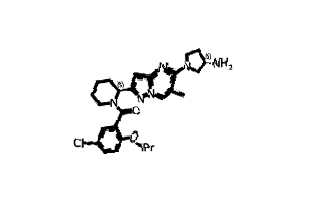 Cc1cn2nc([C@@H]3CCCCN3C(=O)c3cc(Cl)ccc3OC(C)C)cc2nc1N1CC[C@H](N)C1